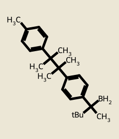 BC(C)(c1ccc(C(C)(C)C(C)(C)c2ccc(C)cc2)cc1)C(C)(C)C